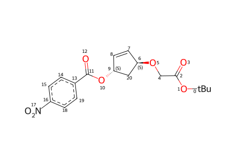 CC(C)(C)OC(=O)CO[C@@H]1C=C[C@@H](OC(=O)c2ccc([N+](=O)[O-])cc2)C1